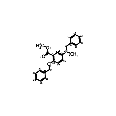 COC(=O)c1nc(N(C)Cc2ccccc2)ccc1OCc1ccccc1